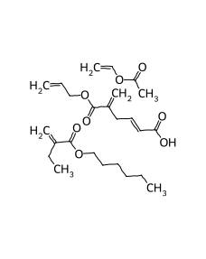 C=C(CC)C(=O)OCCCCCC.C=CCOC(=O)C(=C)CC=CC(=O)O.C=COC(C)=O